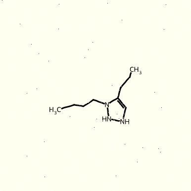 CCCCN1NNC=C1CCC